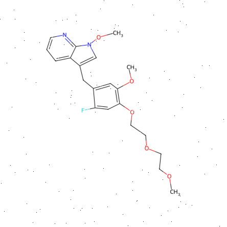 COCCOCCOc1cc(F)c(Cc2cn(OC)c3ncccc23)cc1OC